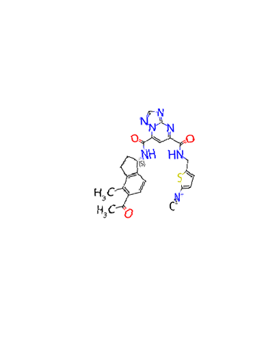 [C-]#[N+]c1ccc(CNC(=O)c2cc(C(=O)N[C@H]3CCc4c3ccc(C(C)=O)c4C)n3ncnc3n2)s1